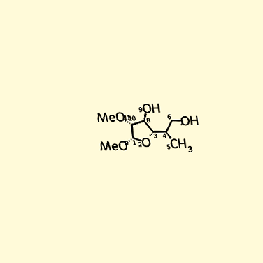 CO[C@H]1O[C@@H]([C@H](C)CO)[C@H](O)[C@H]1OC